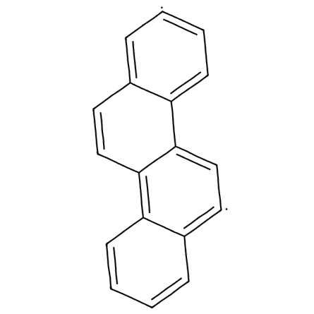 [c]1ccc2c(c1)ccc1c3ccccc3[c]cc21